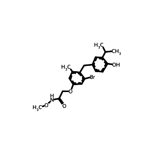 CONC(=O)COc1cc(C)c(Cc2ccc(O)c(C(C)C)c2)c(Br)c1